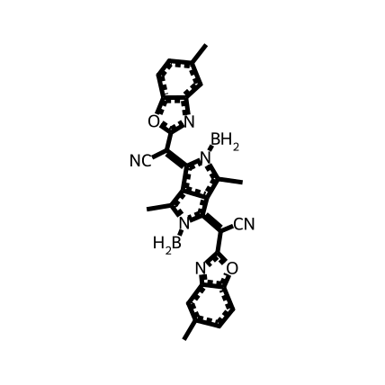 Bn1c(C)c2/c(=C(\C#N)c3nc4cc(C)ccc4o3)n(B)c(C)c2/c1=C(\C#N)c1nc2cc(C)ccc2o1